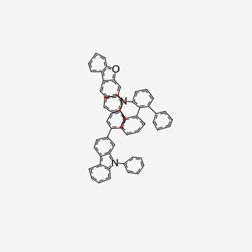 c1ccc(-c2ccccc2-c2c(-c3ccccc3)cccc2N(c2ccc(-c3ccc4c5ccccc5n(-c5ccccc5)c4c3)cc2)c2ccc3c(c2)oc2ccccc23)cc1